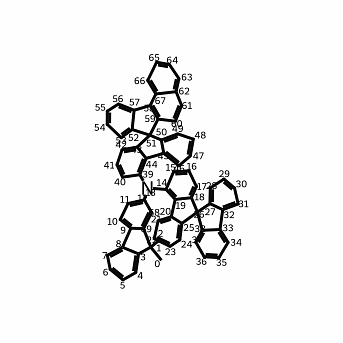 CC1(C)c2ccccc2-c2ccc(N(c3cccc4c3-c3ccccc3C43c4ccccc4-c4ccccc43)c3cccc4c3-c3ccccc3C43c4ccccc4-c4c3ccc3ccccc43)cc21